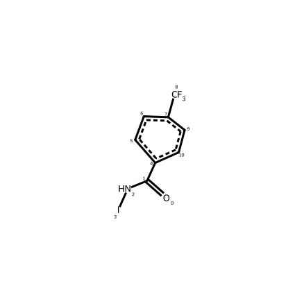 O=C(NI)c1ccc(C(F)(F)F)cc1